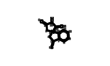 O=C1C[N+]2(CC(=S)c3ccccc32)C(=O)N1